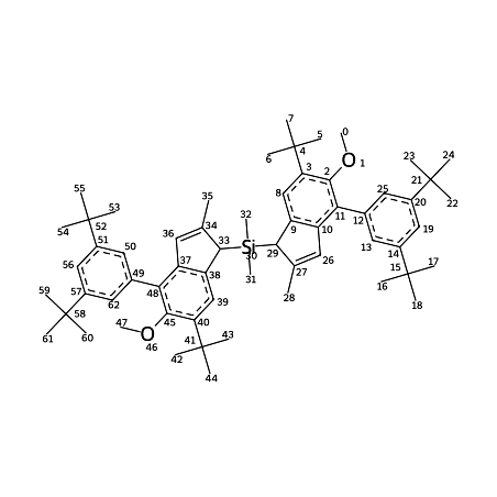 COc1c(C(C)(C)C)cc2c(c1-c1cc(C(C)(C)C)cc(C(C)(C)C)c1)C=C(C)C2[Si](C)(C)C1C(C)=Cc2c1cc(C(C)(C)C)c(OC)c2-c1cc(C(C)(C)C)cc(C(C)(C)C)c1